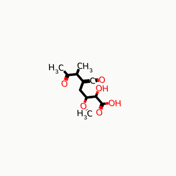 COC(CC(=C=O)C(C)C(C)=O)C(O)C(=O)O